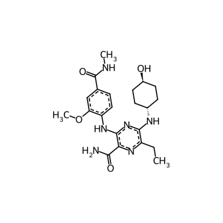 CCc1nc(C(N)=O)c(Nc2ccc(C(=O)NC)cc2OC)nc1N[C@H]1CC[C@H](O)CC1